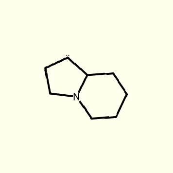 [C]1CCN2CCCCC12